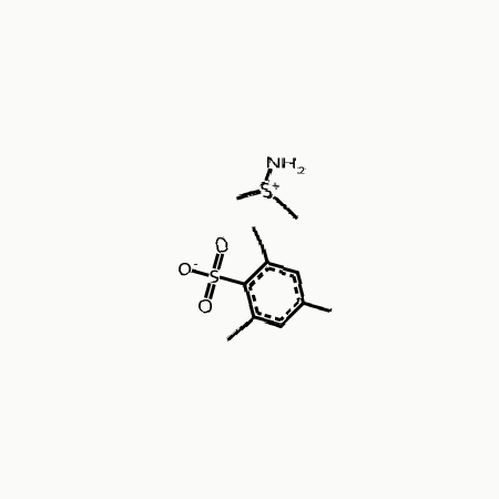 C[S+](C)N.Cc1cc(C)c(S(=O)(=O)[O-])c(C)c1